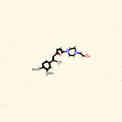 COc1ccc(C(C#N)=Cc2ccc(N3CCN(CCO)CC3)o2)cc1OC